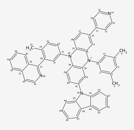 Cc1cc(C)cc(N2c3cc(-c4ccncc4)ccc3N(c3ccc(C)c(-c4nccc5ccccc45)c3)c3ccc(-n4c5ccccc5c5ccccc54)cc32)c1